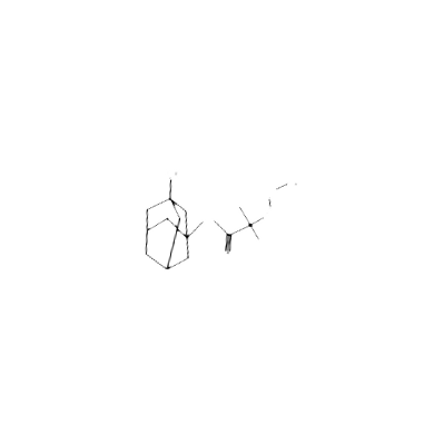 O=C(OC12CC3CC(CC(O)(C3)C1)C2)C(F)(F)OOS